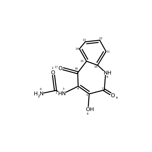 NC(=O)Nc1c(O)c(=O)[nH]c2ccccc2c1=O